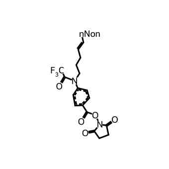 CCCCCCCCCC=CCCCN(C(=O)C(F)(F)F)c1ccc(C(=O)ON2C(=O)CCC2=O)cc1